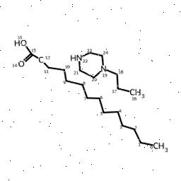 CCCCCCCCCCCCCC(=O)O.CCCN1CCNCC1